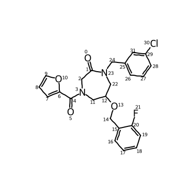 O=C1CN(C(=O)c2ccco2)CC(OCc2ccccc2F)CN1Cc1cccc(Cl)c1